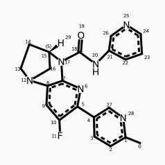 Cc1ccc(-c2nc3c(cc2F)N2CC[C@@H](C2)N3C(=O)Nc2cccnc2)cn1